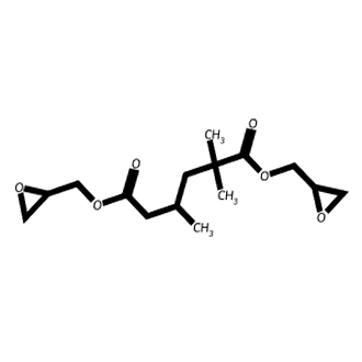 CC(CC(=O)OCC1CO1)CC(C)(C)C(=O)OCC1CO1